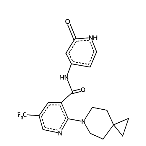 O=C(Nc1cc[nH]c(=O)c1)c1cc(C(F)(F)F)cnc1N1CCC2(CC1)CC2